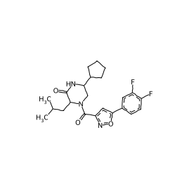 CC(C)CC1C(=O)NC(C2CCCC2)CN1C(=O)c1cc(-c2ccc(F)c(F)c2)on1